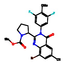 COc1c(F)cc(-n2c(C3CCCN3C(=O)OC(C)(C)C)nc3c(Br)cc(C#N)cc3c2=O)cc1F